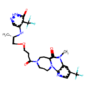 C[C@@H](COCCC(=O)N1CCN2c3ncc(C(F)(F)F)cc3N(C)C(=O)C2C1)Nc1cn[nH]c(=O)c1C(F)(F)F